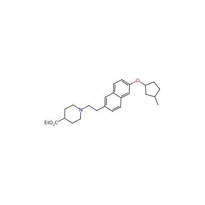 CCOC(=O)C1CCN(CCc2ccc3cc(OC4CCC(C)C4)ccc3c2)CC1